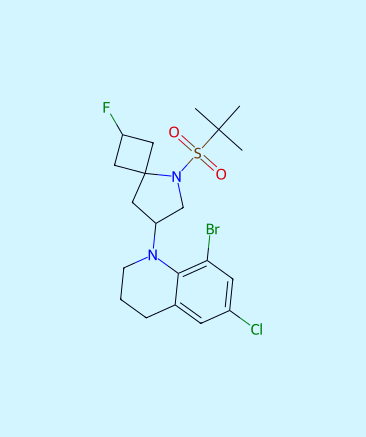 CC(C)(C)S(=O)(=O)N1CC(N2CCCc3cc(Cl)cc(Br)c32)CC12CC(F)C2